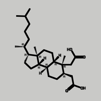 CC(C)CCC[C@@H](C)[C@H]1CC[C@H]2[C@@H]3CC[C@H](CC(=O)O)[C@](C)(CC(=O)O)[C@H]3CC[C@]12C